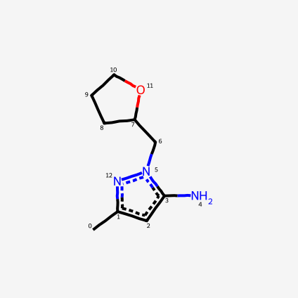 Cc1cc(N)n(CC2CCCO2)n1